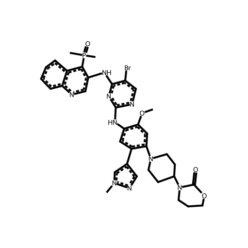 COc1cc(N2CCC(N3CCCOC3=O)CC2)c(-c2cnn(C)c2)cc1Nc1ncc(Br)c(Nc2cnc3ccccc3c2P(C)(C)=O)n1